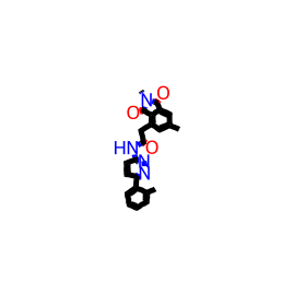 Cc1cc(CC(=O)Nc2ccc(-c3ccccc3C)nn2)c2c(c1)C(=O)N(C)C2=O